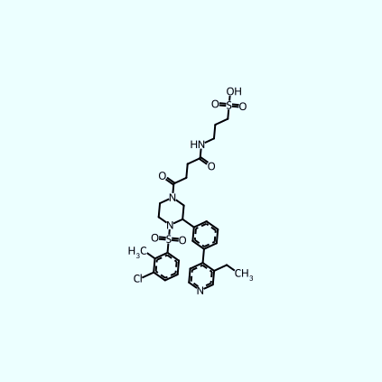 CCc1cnccc1-c1cccc(C2CN(C(=O)CCC(=O)NCCCS(=O)(=O)O)CCN2S(=O)(=O)c2cccc(Cl)c2C)c1